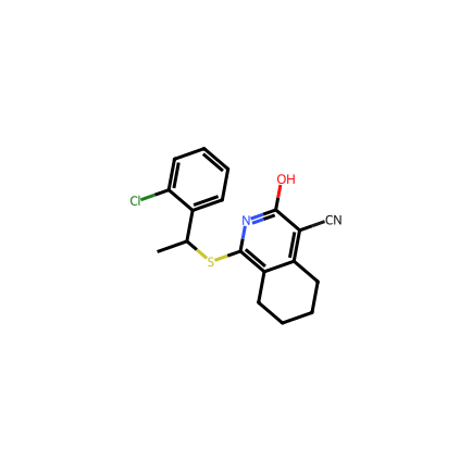 CC(Sc1nc(O)c(C#N)c2c1CCCC2)c1ccccc1Cl